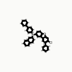 Clc1cc2oc3ccc(N(c4ccc(-c5ccccc5)cc4)c4ccc5ccccc5c4)cc3c2cc1-c1ccccc1